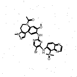 COc1cc2c(cc1Nc1ncc(Br)c(Nc3ccc4nccnc4c3P(C)(C)=O)n1)-c1cnn(C)c1CCN2C(C)=O